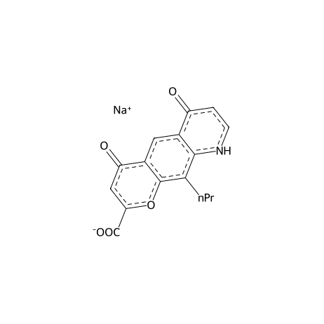 CCCc1c2[nH]ccc(=O)c2cc2c(=O)cc(C(=O)[O-])oc12.[Na+]